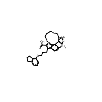 Cc1n[nH]c2c1-c1c(F)ccc3c(CCCOc4cccc5c4CCC5)c(C(=O)O)n(c13)CCCCOC2